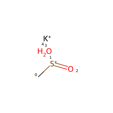 C[S+]=O.O.[K+]